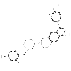 COc1ccc(-c2n[nH]c3cc4c(cc23)CN([C@@H]2CCCN(Cc3ccc(F)cc3F)C2)CN4)cn1